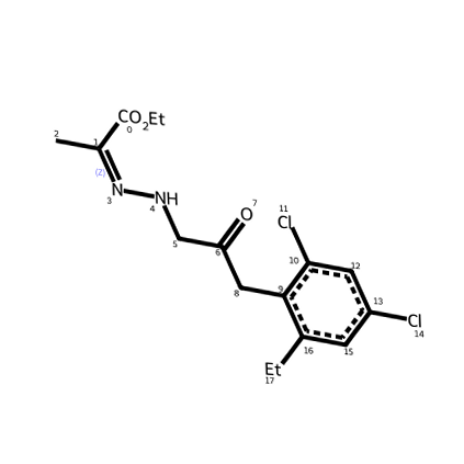 CCOC(=O)/C(C)=N\NCC(=O)Cc1c(Cl)cc(Cl)cc1CC